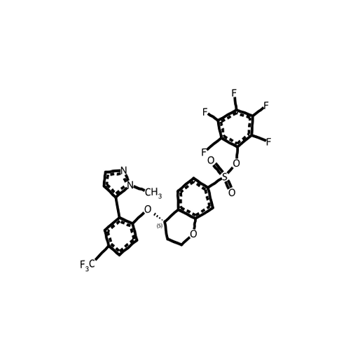 Cn1nccc1-c1cc(C(F)(F)F)ccc1O[C@H]1CCOc2cc(S(=O)(=O)Oc3c(F)c(F)c(F)c(F)c3F)ccc21